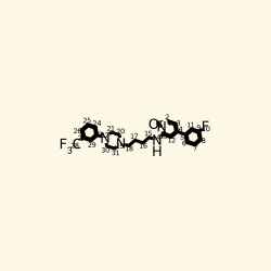 [O-][n+]1ccc(-c2cccc(F)c2)cc1NCCCCN1CCN(c2cccc(C(F)(F)F)c2)CC1